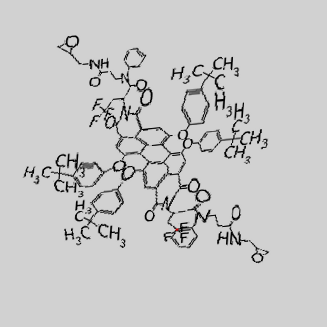 CC(C)(C)c1ccc(Oc2cc3c4c(cc(Oc5ccc(C(C)(C)C)cc5)c5c6c(Oc7ccc(C(C)(C)C)cc7)cc7c8c(cc(Oc9ccc(C(C)(C)C)cc9)c(c2c45)c86)C(=O)N(C(CC(F)(F)F)C(=O)N(CCC(=O)NCC2CO2)c2ccccc2)C7=O)C(=O)N(C(CC(F)(F)F)C(=O)N(CCC(=O)NCC2CO2)c2ccccc2)C3=O)cc1